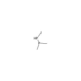 CP(C)PI